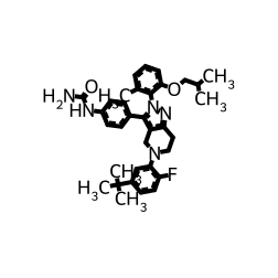 Cc1cccc(OCC(C)C)c1-n1nc2c(c1-c1ccc(NC(N)=O)cc1)CN(c1cc(C(C)(C)C)ccc1F)CC2